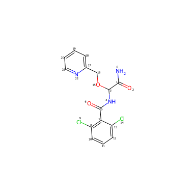 NC(=O)C(NC(=O)c1c(Cl)cccc1Cl)OCc1ccccn1